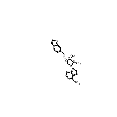 Nc1ncnc2c1ccn2[C@@H]1C[C@H](CCc2ccn3ccnc3c2)[C@@H](O)[C@H]1O